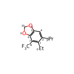 CCc1c(C(C)C)cc2c(c1C(F)(F)F)OCO2